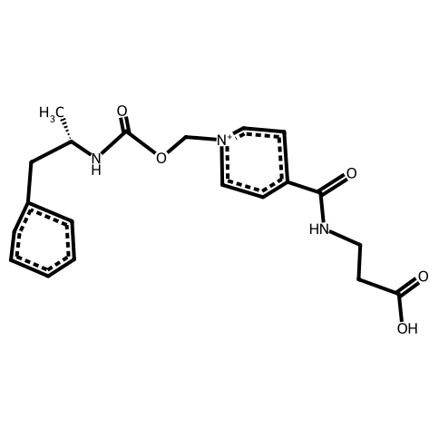 C[C@@H](Cc1ccccc1)NC(=O)OC[n+]1ccc(C(=O)NCCC(=O)O)cc1